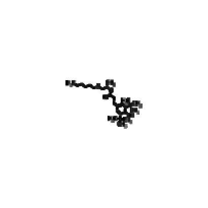 CCCCCCSCC(C)OC(=O)CCc1cc(C(C)(C)C)c(O)c(C(C)(C)C)c1